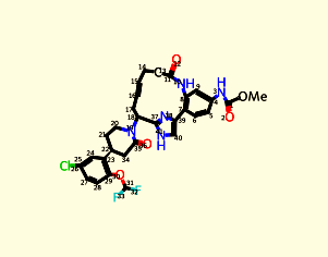 COC(=O)Nc1ccc2c(c1)NC(=O)CC/C=C/CC(N1CC[C@H](c3cc(Cl)ccc3OC(F)F)CC1=O)c1nc-2c[nH]1